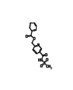 CS(=O)(=O)NC(=O)c1ccc(COC(=O)c2ccccc2)nc1